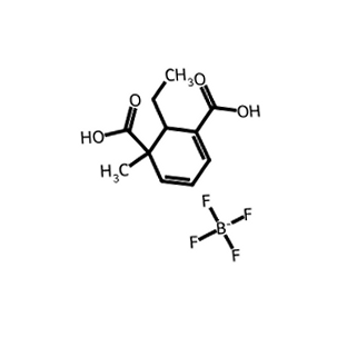 CCC1C(C(=O)O)=CC=CC1(C)C(=O)O.F[B-](F)(F)F